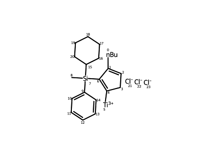 CCCCC1=CC[C]([Ti+3])=C1[Si](C)(c1ccccc1)C1CCCCC1.[Cl-].[Cl-].[Cl-]